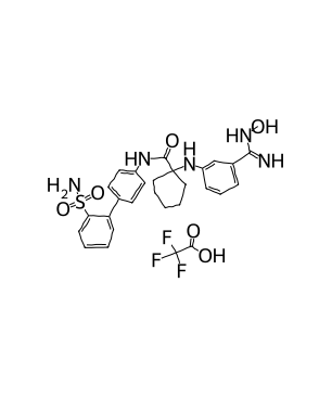 N=C(NO)c1cccc(NC2(C(=O)Nc3ccc(-c4ccccc4S(N)(=O)=O)cc3)CCCCC2)c1.O=C(O)C(F)(F)F